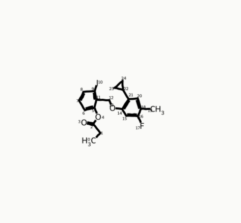 CCC(=O)Oc1cccc(I)c1COc1cc(F)c(C)cc1C1CC1